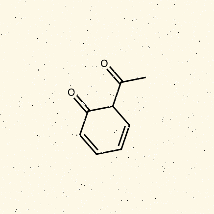 CC(=O)C1C=CC=[C]C1=O